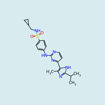 Cc1nc(C(C)C)[nH]c1-c1ccnc(Nc2ccc(S(=O)(=O)NCC3CC3)cc2)n1